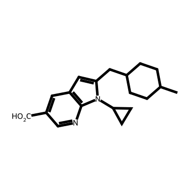 CC1CCC(Cc2cc3cc(C(=O)O)cnc3n2C2CC2)CC1